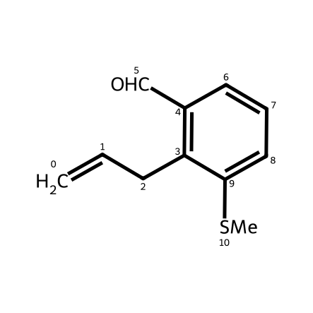 C=CCc1c(C=O)cccc1SC